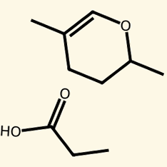 CC1=COC(C)CC1.CCC(=O)O